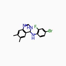 Cc1cc2c(cc1C)C(Nc1ccc(Br)cc1F)NC=N2